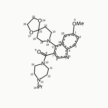 COc1ccc2ncc(C(=O)N3CCN(C(C)C)CC3)c(N3CCC4(CC3)OCCO4)c2c1